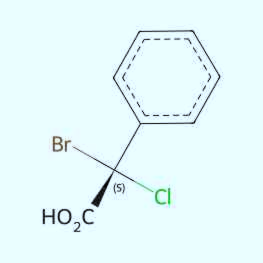 O=C(O)[C@@](Cl)(Br)c1ccccc1